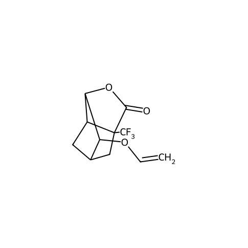 C=COC1C2CC3C1OC(=O)C3(C(F)(F)F)C2